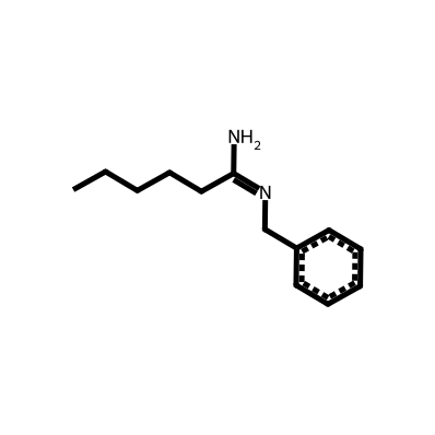 CCCCC/C(N)=N\Cc1ccccc1